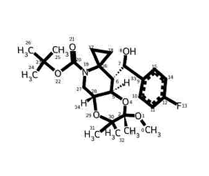 CO[C@@]1(C)O[C@@H]2[C@@H](C(O)c3ccc(F)cc3)C3(CC3)N(C(=O)OC(C)(C)C)C[C@H]2OC1(C)C